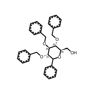 OC[C@H]1OC(c2ccccc2)[C@H](OCc2ccccc2)[C@@H](OCc2ccccc2)[C@@H]1OCc1ccccc1